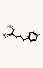 C=C(CS)CCCc1ccccc1